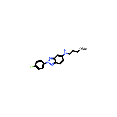 COCCCNc1ccc2nn(-c3ccc(F)cc3)nc2c1